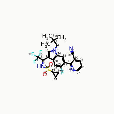 CC(C)(C)Cn1cc(C(NS(=O)(=O)C2CC2)C(F)(F)F)c2cc(F)c(-c3ncccc3C#N)cc21